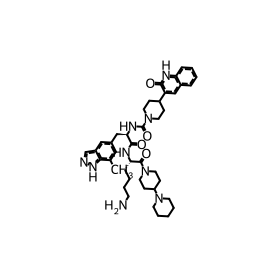 Cc1cc(C[C@@H](NC(=O)N2CCC(c3cc4ccccc4[nH]c3=O)CC2)C(=O)N[C@@H](CCCCN)C(=O)N2CCC(N3CCCCC3)CC2)cc2cn[nH]c12